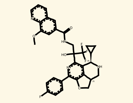 COc1cc(C(=O)NCC(O)(c2nc(-c3ccc(F)cc3)c3c4c2[C@@H](C2CC2)NC[C@@]4(C)CO3)C(F)(F)F)cc2cccnc12